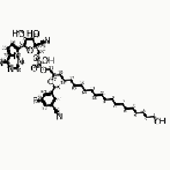 CCCCCCCCCCCCCCCCCCCC[C@H](COP(=O)(O)OC[C@@]1(C#N)O[C@@H](c2ccc3c(N)ncnn23)[C@H](O)[C@@H]1O)OCc1cc(F)cc(C#N)c1